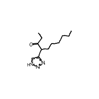 CCCCCCC(C(=O)CC)c1c[nH]nn1